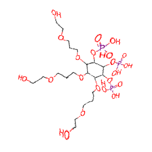 O=P(O)(O)OC1C(OCCCOCCO)C(OCCCOCCO)C(OCCCOCCO)C(OP(=O)(O)O)C1OP(=O)(O)O